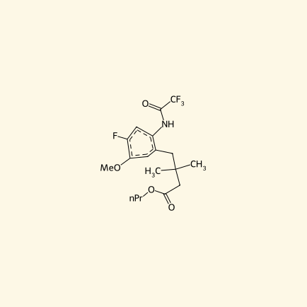 CCCOC(=O)CC(C)(C)Cc1cc(OC)c(F)cc1NC(=O)C(F)(F)F